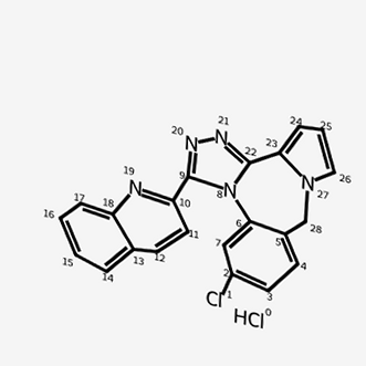 Cl.Clc1ccc2c(c1)-n1c(-c3ccc4ccccc4n3)nnc1-c1cccn1C2